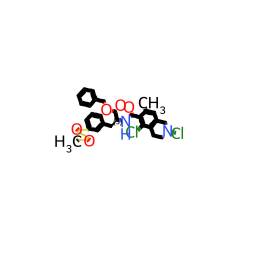 Cc1cc2c(c(Cl)c1C(=O)N[C@@H](Cc1cccc(S(C)(=O)=O)c1)C(=O)OCc1ccccc1)CCN(Cl)C2